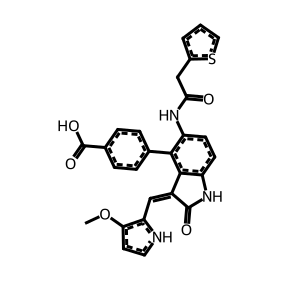 COc1cc[nH]c1C=C1C(=O)Nc2ccc(NC(=O)Cc3cccs3)c(-c3ccc(C(=O)O)cc3)c21